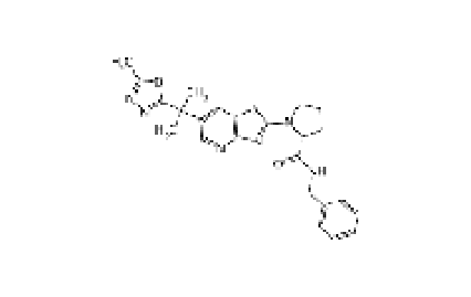 Cc1nnc(C(C)(C)c2cnc3nc(N4CCC[C@@H]4C(=O)NCc4ccccc4)sc3c2)o1